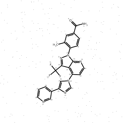 Cc1cc(C(N)=O)ccc1-n1nc(C(F)(F)F)c2c(-n3cnc(-c4cccnc4)c3)ccnc21